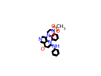 CS(=O)(=O)N1CCN(c2cncc3c(=O)cc(Nc4ccccc4)n(-c4ccccc4)c23)CC1